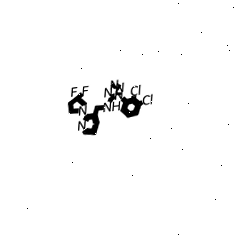 FC1(F)CCN(c2ncccc2CNc2nnnn2-c2cccc(Cl)c2Cl)C1